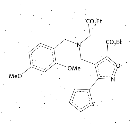 CCOC(=O)CN(Cc1ccc(OC)cc1OC)Cc1c(-c2cccs2)noc1C(=O)OCC